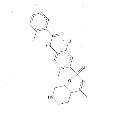 C/C(=N/S(=O)(=O)c1cc(Cl)c(NC(=O)c2ccccc2C)cc1C)C1CCNCC1